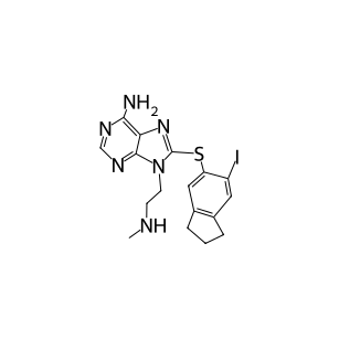 CNCCn1c(Sc2cc3c(cc2I)CCC3)nc2c(N)ncnc21